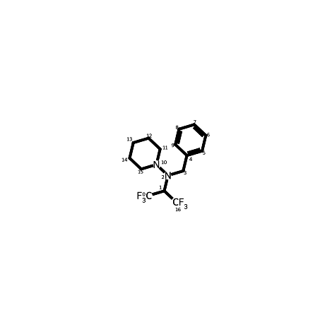 FC(F)(F)C(N(Cc1ccccc1)N1CCCCC1)C(F)(F)F